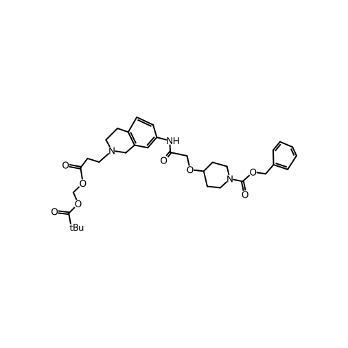 CC(C)(C)C(=O)OCOC(=O)CCN1CCc2ccc(NC(=O)COC3CCN(C(=O)OCc4ccccc4)CC3)cc2C1